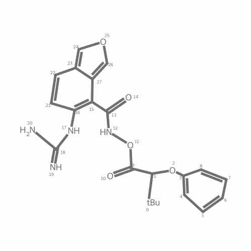 CC(C)(C)C(Oc1ccccc1)C(=O)ONC(=O)c1c(NC(=N)N)ccc2cocc12